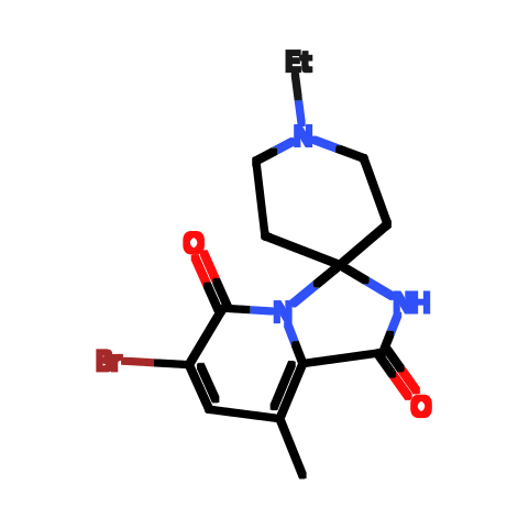 CCN1CCC2(CC1)NC(=O)c1c(C)cc(Br)c(=O)n12